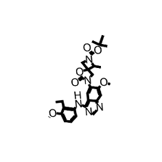 CCc1c(Nc2ncnc3cc(OC)c(N4CC5(CN(C(=O)OC(C)(C)C)C5C)OC4=O)cc23)cccc1OC